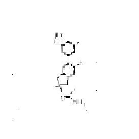 CC(C)Oc1cc(F)cc(-c2cc3c(cc2F)[C@H](OC(N)=O)C(C)(C)C3)c1